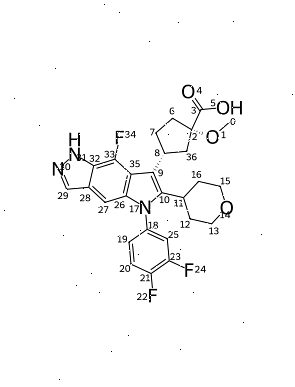 CO[C@@]1(C(=O)O)CC[C@@H](c2c(C3CCOCC3)n(-c3ccc(F)c(F)c3)c3cc4cn[nH]c4c(F)c23)C1